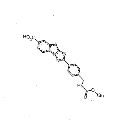 CC(C)(C)OC(=O)NCc1ccc(-c2nc3sc4cc(C(=O)O)ccc4n3n2)cc1